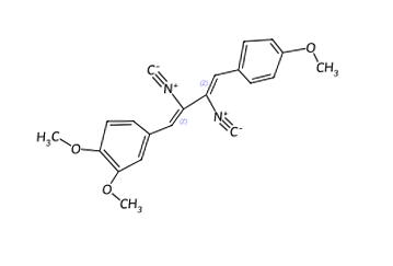 [C-]#[N+]C(=C\c1ccc(OC)cc1)/C(=C/c1ccc(OC)c(OC)c1)[N+]#[C-]